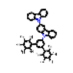 [2H]c1c([2H])c([2H])c(-c2cc(-c3c([2H])c([2H])c([2H])c([2H])c3[2H])cc(-n3c4ccccc4c4cc(-n5c6ccccc6c6ccccc65)ccc43)c2)c([2H])c1[2H]